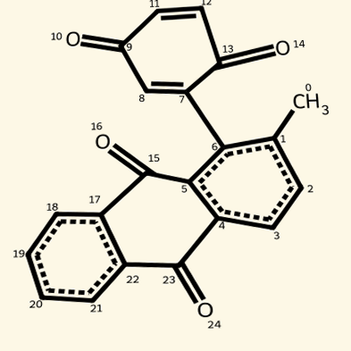 Cc1ccc2c(c1C1=CC(=O)C=CC1=O)C(=O)c1ccccc1C2=O